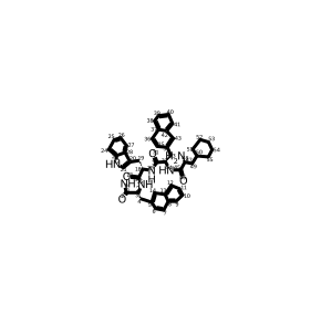 NC(=O)[C@@H](Cc1ccc2ccccc2c1)NC(=O)[C@H](Cc1c[nH]c2ccccc12)NC(=O)[C@@H](Cc1ccc2ccccc2c1)NC(=O)[C@@H](N)CC1CCCCC1